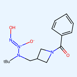 CC(C)(C)N(CC1CN(C(=O)c2ccccc2)C1)[N+]([O-])=NO